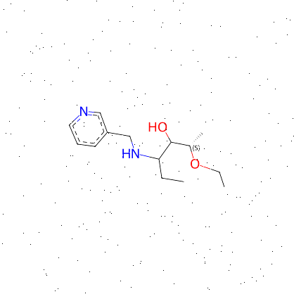 CCO[C@@H](C)C(O)C(CC)NCc1cccnc1